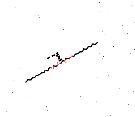 C=C.C=C.C=C.C=C.C=C.C=C.C=C.CCCCCCCCCCCCOCCOCCOCCOCCCCCCCCCCCC